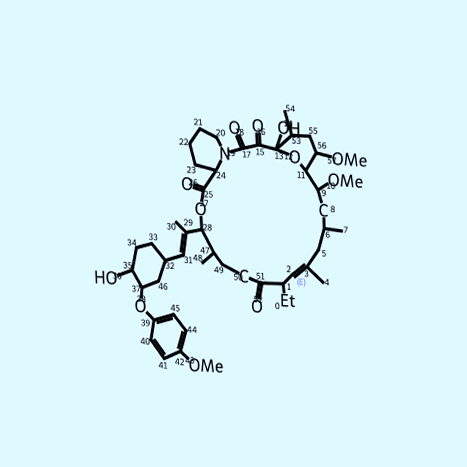 CCC1/C=C(\C)CC(C)CC(OC)C2OC(O)(C(=O)C(=O)N3CCCCC3C(=O)OC(C(C)=CC3CCC(O)C(Oc4ccc(OC)cc4)C3)C(C)CCC1=O)C(C)CC2OC